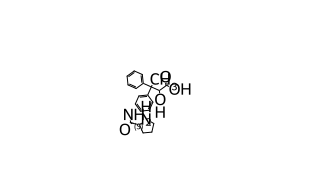 CC(c1ccccc1)(c1ccccc1)C(O)C(=O)O.NC(=O)[C@@H]1CCCN1